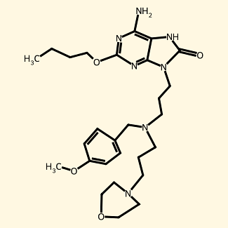 CCCCOc1nc(N)c2[nH]c(=O)n(CCCN(CCCN3CCOCC3)Cc3ccc(OC)cc3)c2n1